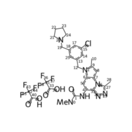 CNC(=O)Nc1cc2c(cc(C)n2Cc2cc(Cl)cc(CN3CCCC3)c2)n2c(C)nnc12.O=C(O)C(F)(F)F.O=C(O)C(F)(F)F